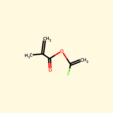 C=C(F)OC(=O)C(=C)C